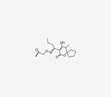 C=C(Cl)CON=C(CCC)C1=C(O)C(C)C2(CCCC2)OC1=O